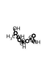 Cc1cc(CO)ccc1-c1cc2ccc(S(=O)(=O)NC3CCC(C(=O)N4CCNCC4c4ccccc4)CC3)cc2[nH]1